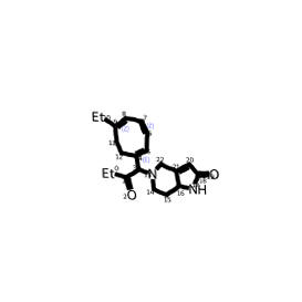 CCC(=O)C(/C1=C/C=C\C=C(\CC)CC1)N1CCC2NC(=O)C=C2C1